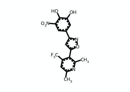 Cc1cc(C(F)(F)F)c(-c2cc(-c3cc(O)c(O)c([N+](=O)[O-])c3)no2)c(C)n1